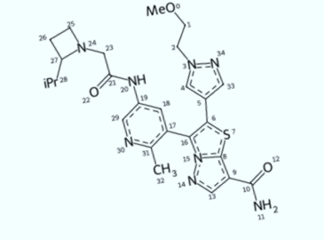 COCCn1cc(-c2sc3c(C(N)=O)cnn3c2-c2cc(NC(=O)CN3CCC3C(C)C)cnc2C)cn1